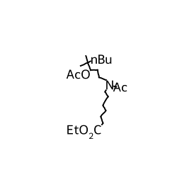 CCCCC(C)(C)C(CCCN(CCCCCCC(=O)OCC)C(C)=O)OC(C)=O